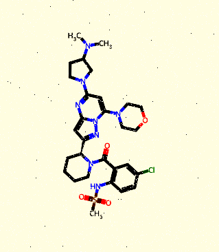 CN(C)C1CCN(c2cc(N3CCOCC3)n3nc([C@@H]4CCCCN4C(=O)c4cc(Cl)ccc4NS(C)(=O)=O)cc3n2)C1